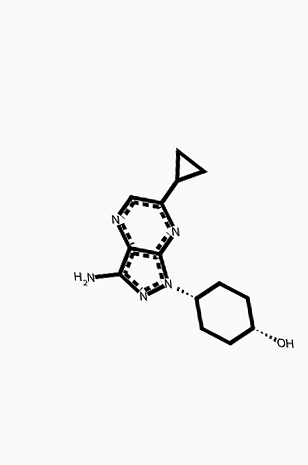 Nc1nn([C@H]2CC[C@@H](O)CC2)c2nc(C3CC3)cnc12